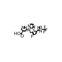 O=C(O)c1cnnc(N(Cc2sc(-c3noc(C(F)(F)F)n3)cc2F)c2cnccn2)c1